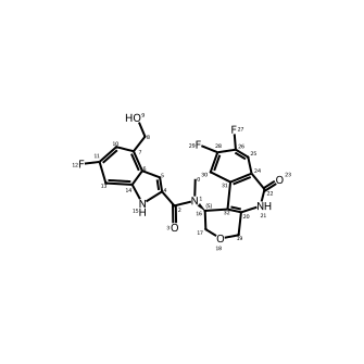 CN(C(=O)c1cc2c(CO)cc(F)cc2[nH]1)[C@@H]1COCc2[nH]c(=O)c3cc(F)c(F)cc3c21